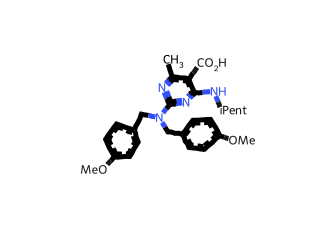 CCCC(C)Nc1nc(N(Cc2ccc(OC)cc2)Cc2ccc(OC)cc2)nc(C)c1C(=O)O